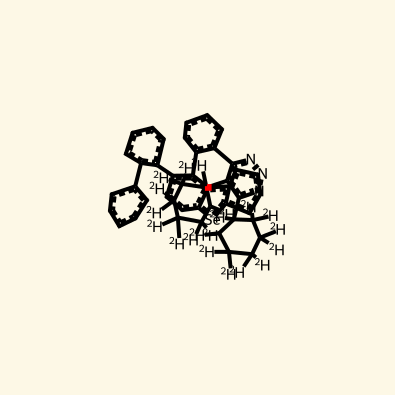 [2H]C1C([2H])([2H])C([2H])([2H])C([2H])([2H])C([2H])([2H])C1([2H])c1nnnc(-c2ccccc2-c2c(-c3ccccc3-c3ccccc3)ccc3[se]c4ccccc4c23)c1C1([2H])C([2H])C([2H])([2H])C([2H])([2H])C([2H])([2H])C1([2H])[2H]